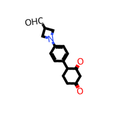 O=CC1CN(c2ccc(C3CCC(=O)CC3=O)cc2)C1